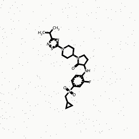 CC(C)c1nsc(N2CCC(N3CCC(Nc4ccc(S(=O)(=O)CC5CC5)cc4F)C3=O)CC2)n1